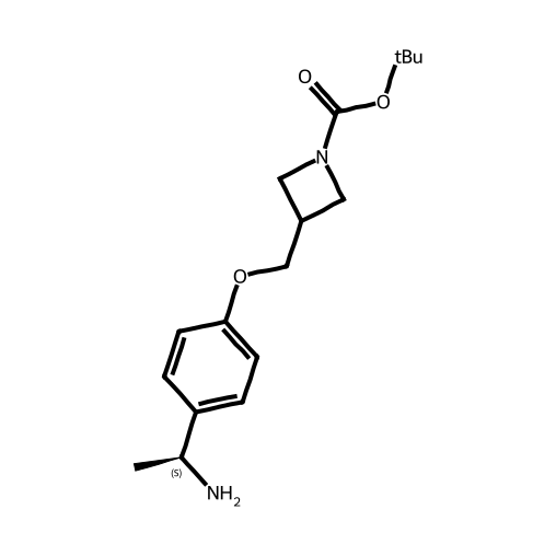 C[C@H](N)c1ccc(OCC2CN(C(=O)OC(C)(C)C)C2)cc1